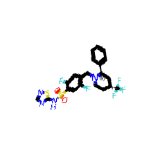 O=S(=O)(Nc1ncns1)c1cc(F)c(CN2CC[C@@H](C(F)(F)F)C[C@@H]2c2ccccc2)cc1F